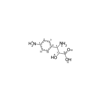 Nc1ccc(C(N)C(O)C(=O)O)cc1